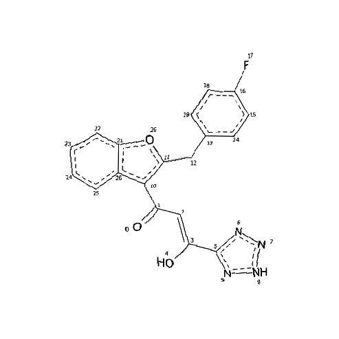 O=C(C=C(O)c1nn[nH]n1)c1c(Cc2ccc(F)cc2)oc2ccccc12